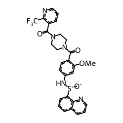 COc1cc(N[S+]([O-])c2cccc3cccnc23)ccc1C(=O)N1CCN(C(=O)c2cccnc2C(F)(F)F)CC1